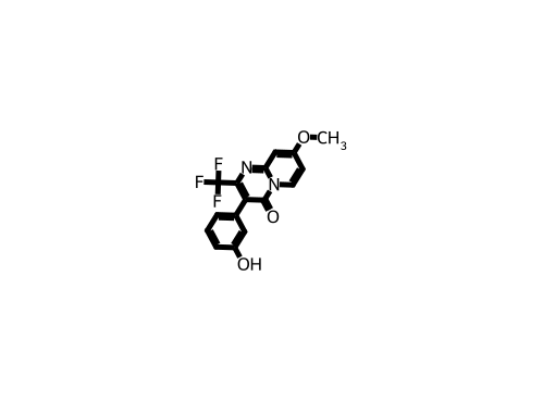 COc1ccn2c(=O)c(-c3cccc(O)c3)c(C(F)(F)F)nc2c1